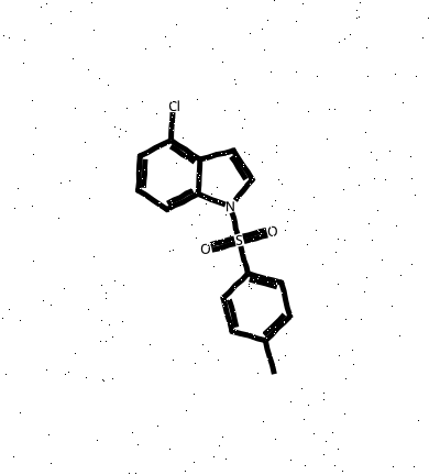 Cc1ccc(S(=O)(=O)n2ccc3c(Cl)cccc32)cc1